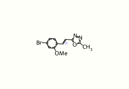 COc1cc(Br)ccc1/C=C/c1nnc(C)o1